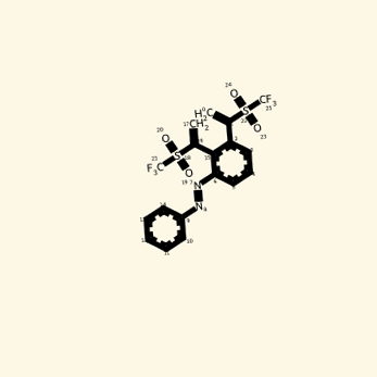 C=C(c1cccc(N=Nc2ccccc2)c1C(=C)S(=O)(=O)C(F)(F)F)S(=O)(=O)C(F)(F)F